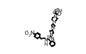 CC(C)(C)OC(=O)N1CCN(C2CN(C3CN(c4nc(NCCc5ccc([N+](=O)[O-])cc5)c5ccccc5n4)C3)C2)CC1